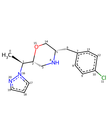 C[C@@H]([C@H]1CN[C@@H](Cc2ccc(Cl)cc2)CO1)n1cccn1